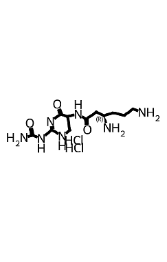 Cl.Cl.NCCC[C@@H](N)CC(=O)NC1CNC(NC(N)=O)=NC1=O